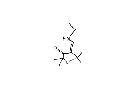 CCN/C=C1\C(=O)C(C)(C)OC1(C)C